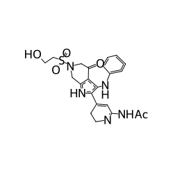 CC(=O)NC1=NCCC(c2[nH]c3c(c2NC2=C=C=CC=C2)C(=O)CN(S(=O)(=O)CCO)C3)=C1